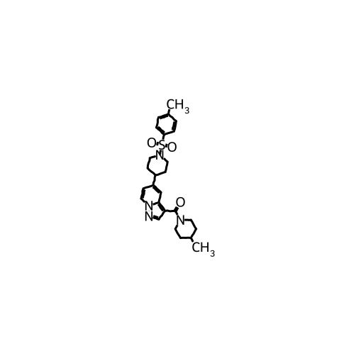 Cc1ccc(S(=O)(=O)N2CCC(c3ccn4ncc(C(=O)N5CCC(C)CC5)c4c3)CC2)cc1